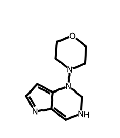 C1=NC2=CNCN(N3CCOCC3)C2=C1